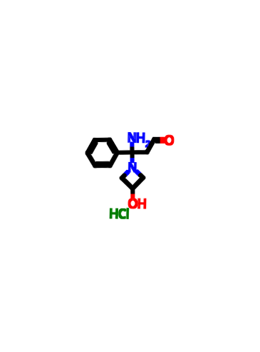 Cl.NC(CC=O)(c1ccccc1)N1CC(O)C1